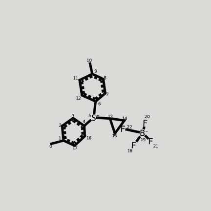 Cc1ccc([S+](c2ccc(C)cc2)C2CC2)cc1.F[B-](F)(F)F